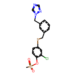 CS(=O)(=O)Oc1ccc(SCc2cccc(Cn3cncn3)c2)cc1Cl